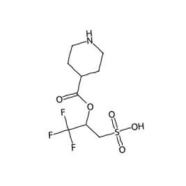 O=C(OC(CS(=O)(=O)O)C(F)(F)F)C1CCNCC1